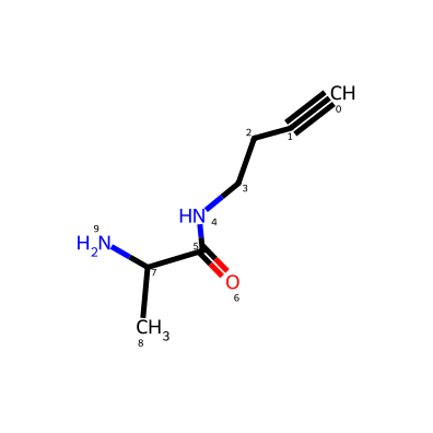 C#CCCNC(=O)C(C)N